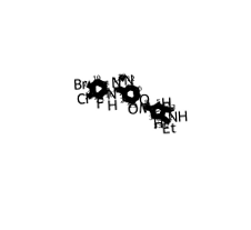 CCC1NC[C@@H]2CC(COc3cc4ncnc(Nc5ccc(Br)c(Cl)c5F)c4cc3OC)C[C@H]12